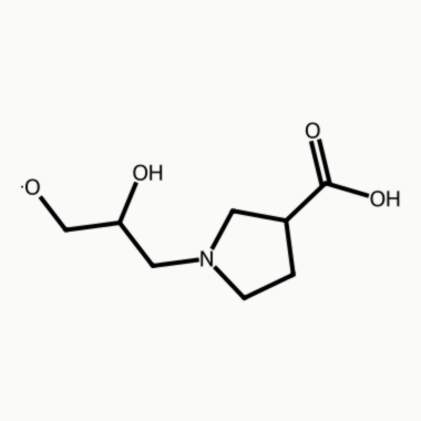 [O]CC(O)CN1CCC(C(=O)O)C1